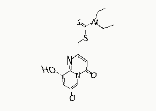 CCN(CC)C(=S)SCc1cc(=O)n2cc(Cl)cc(O)c2n1